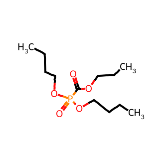 CCCCOP(=O)(OCCCC)C(=O)OCCC